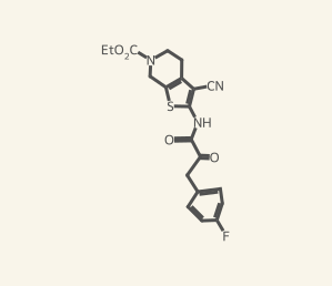 CCOC(=O)N1CCc2c(sc(NC(=O)C(=O)Cc3ccc(F)cc3)c2C#N)C1